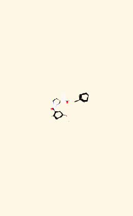 O=Cc1ccc(F)c(C(=O)N2CC[C@@H](NC(=O)OCc3ccccc3)C2)c1